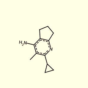 Cc1c(C2CC2)nc2c(c1N)CCC2